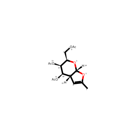 CC(=O)OC[C@H]1O[C@@H]2OC(C)=C[C@@H]2[C@@H](OC(C)=O)[C@H]1OC(C)=O